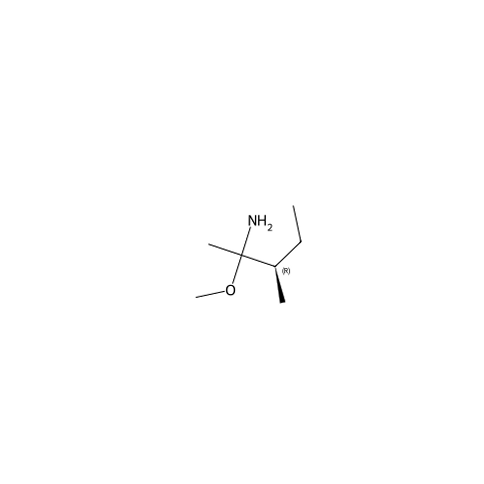 CC[C@@H](C)C(C)(N)OC